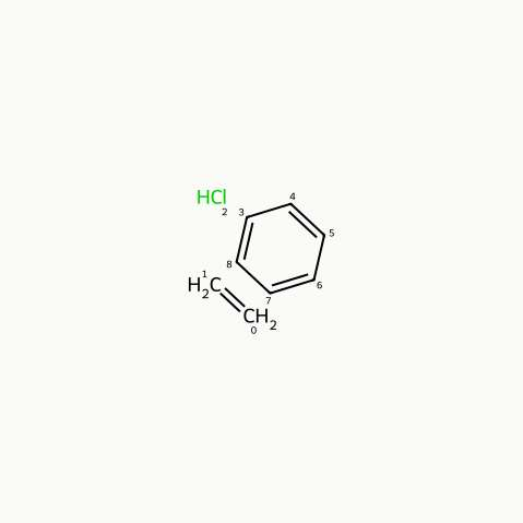 C=C.Cl.c1ccccc1